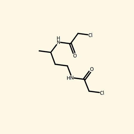 CC(CCNC(=O)CCl)NC(=O)CCl